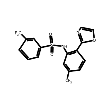 O=S(=O)(Nc1cc(C(F)(F)F)ccc1-c1ncco1)c1cccc(C(F)(F)F)c1